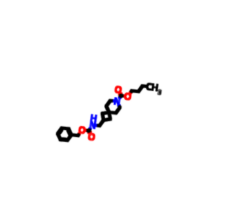 CCCCOC(=O)N1CCC2(CC1)CC(CNC(=O)OCc1ccccc1)C2